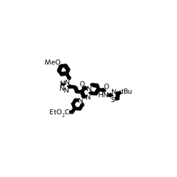 CCOC(=O)CC1CCN(c2nc3cc(C(=O)Nc4nc(C(C)(C)C)cs4)ccn3c(=O)c2C=Cc2nnnn2Cc2ccc(OC)cc2)CC1